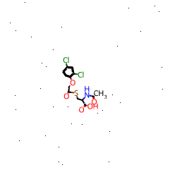 CC(=O)NC(CSC(=O)COc1ccc(Cl)cc1Cl)C(=O)O